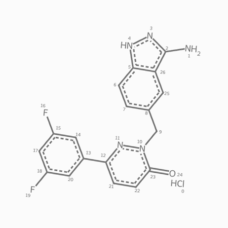 Cl.Nc1n[nH]c2ccc(Cn3nc(-c4cc(F)cc(F)c4)ccc3=O)cc12